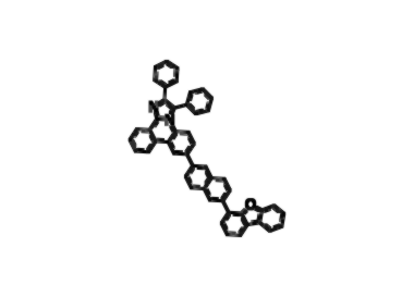 c1ccc(-c2nc3c4ccccc4c4cc(-c5ccc6cc(-c7cccc8c7oc7ccccc78)ccc6c5)ccc4n3c2-c2ccccc2)cc1